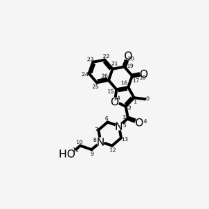 Cc1c(C(=O)N2CCN(CCO)CC2)oc2c1C(=O)C(=O)c1ccccc1-2